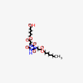 CCCCCCCOC(=O)CCn1c(=O)[nH]c(=O)n(CCC(=O)OCCCCCCO)c1=O